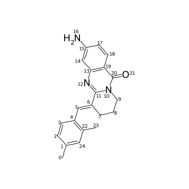 Cc1ccc(/C=C2\CCCn3c2nc2cc(N)ccc2c3=O)c(C)c1